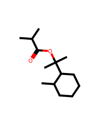 CC(C)C(=O)OC(C)(C)C1CCCCC1C